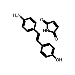 Nc1ccc(C=Cc2ccc(O)cc2)cc1.O=C1C=CC(=O)N1